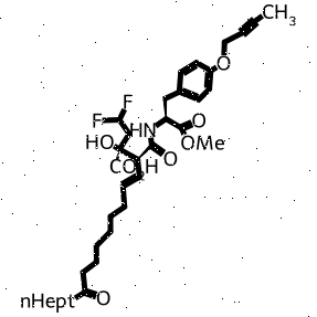 CC#CCOc1ccc(C[C@H](NC(=O)[C@@H](/C=C/CCCCCCC(=O)CCCCCCC)[C@@](O)(CC(F)F)C(=O)O)C(=O)OC)cc1